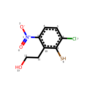 O=[N+]([O-])c1ccc(Cl)c(S)c1CCO